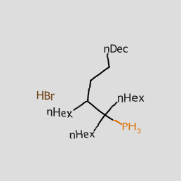 Br.CCCCCCCCCCCCC(CCCCCC)C(P)(CCCCCC)CCCCCC